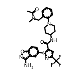 CC(=O)N(C)Cc1ccccc1N1CCC(NC(=O)c2cc(C(F)(F)F)nn2-c2ccc3onc(N)c3c2)CC1